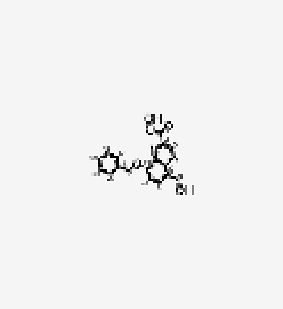 O=C(OO)c1ccc2c(CO)ccc(OCc3ccccc3)c2n1